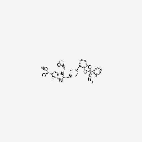 C[C@]1(c2cscn2)Oc2cccc(C3CCN(Cc4nc5sc(C(=O)O)cc5n4C[C@@H]4CCO4)CC3)c2O1